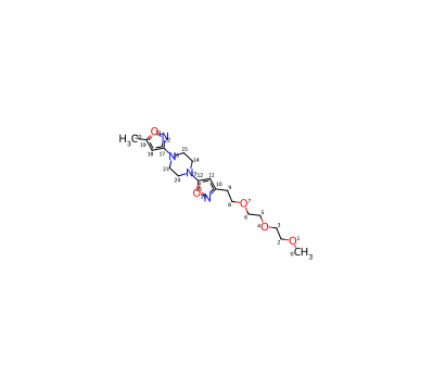 COCCOCCOCCc1cc(N2CCN(c3cc(C)on3)CC2)on1